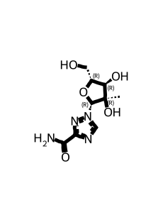 C[C@@]1(O)[C@H](O)[C@@H](CO)O[C@H]1n1cnc(C(N)=O)n1